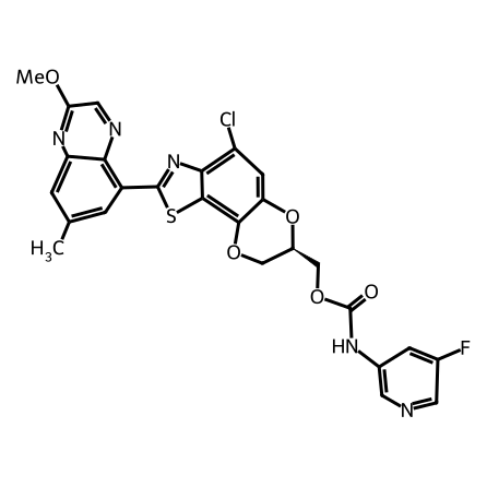 COc1cnc2c(-c3nc4c(Cl)cc5c(c4s3)OC[C@H](COC(=O)Nc3cncc(F)c3)O5)cc(C)cc2n1